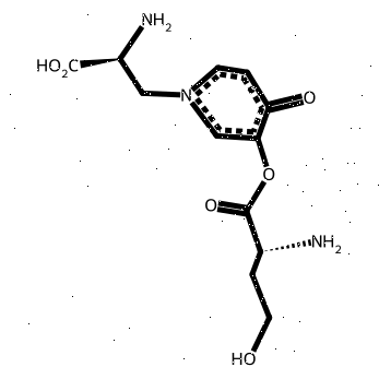 N[C@H](CCO)C(=O)Oc1cn(C[C@H](N)C(=O)O)ccc1=O